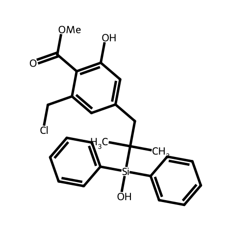 COC(=O)c1c(O)cc(CC(C)(C)[Si](O)(c2ccccc2)c2ccccc2)cc1CCl